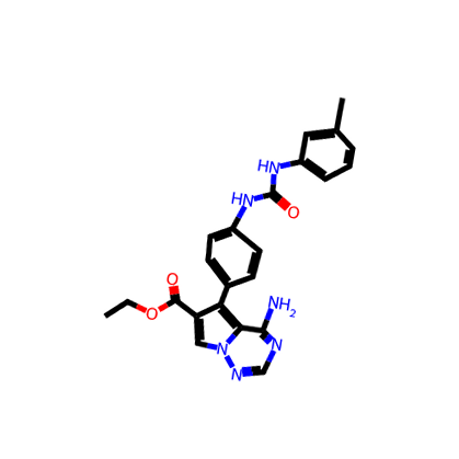 CCOC(=O)c1cn2ncnc(N)c2c1-c1ccc(NC(=O)Nc2cccc(C)c2)cc1